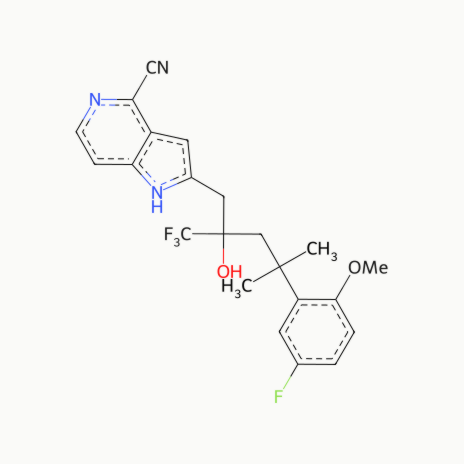 COc1ccc(F)cc1C(C)(C)CC(O)(Cc1cc2c(C#N)nccc2[nH]1)C(F)(F)F